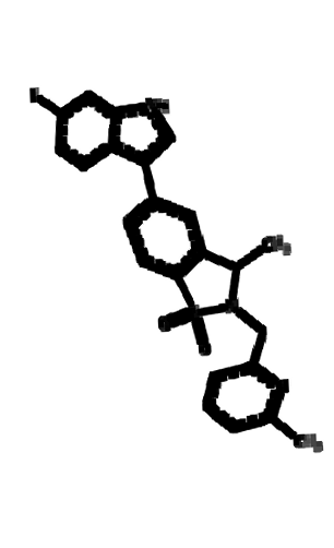 Cc1cccc(CN2C(C)c3cc(-c4c[nH]c5cc(F)ccc45)ccc3S2(=O)=O)n1